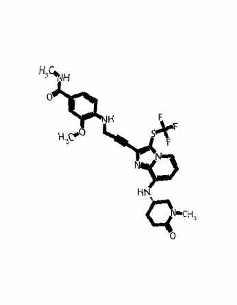 CNC(=O)c1ccc(NCC#Cc2nc3c(N[C@H]4CCC(=O)N(C)C4)cccn3c2SC(F)(F)F)c(OC)c1